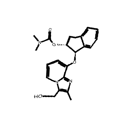 Cc1nc2c(O[C@@H]3c4ccccc4C[C@H]3OC(=O)N(C)C)cccn2c1CO